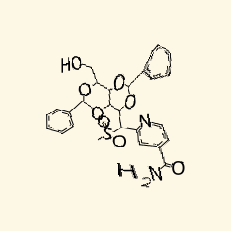 CS(=O)(=O)C(c1cc(C(N)=O)ccn1)C1OC(c2ccccc2)OC2C(CO)OC(c3ccccc3)OC21